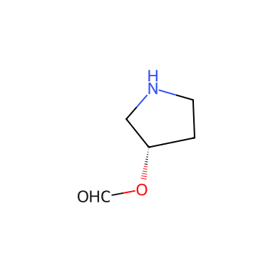 O=CO[C@H]1CCNC1